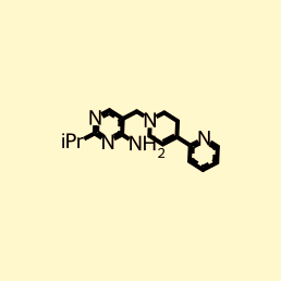 CC(C)c1ncc(CN2CC=C(c3ccccn3)CC2)c(N)n1